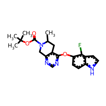 CC1Cc2c(ncnc2Oc2ccc3[nH]ccc3c2F)CN1C(=O)OC(C)(C)C